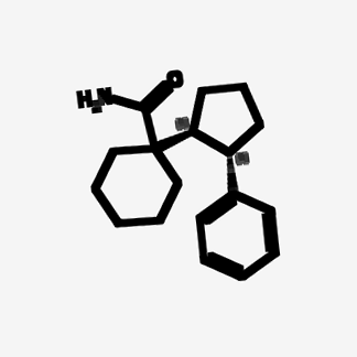 NC(=O)C1([C@H]2CCC[C@@H]2c2ccccc2)CCCCC1